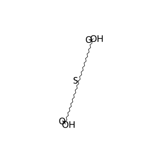 O=C(O)CCCCCCCCCCCCCCCCCC(=S)CCCCCCCCCCCCCCCCCC(=O)O